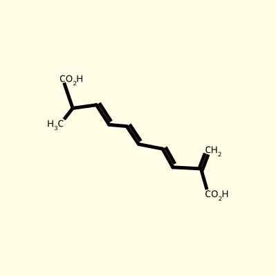 C=C(/C=C/C=C/C=C/C(C)C(=O)O)C(=O)O